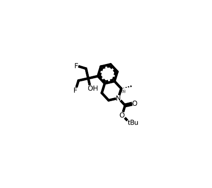 C[C@H]1c2cccc(C(O)(CF)CF)c2CCN1C(=O)OC(C)(C)C